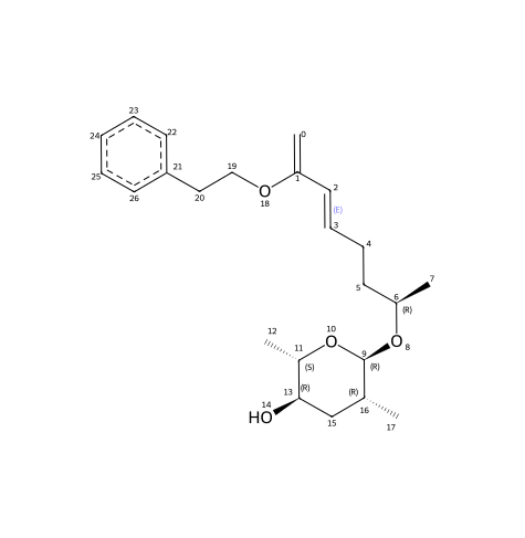 C=C(/C=C/CC[C@@H](C)O[C@@H]1O[C@@H](C)[C@H](O)C[C@H]1C)OCCc1ccccc1